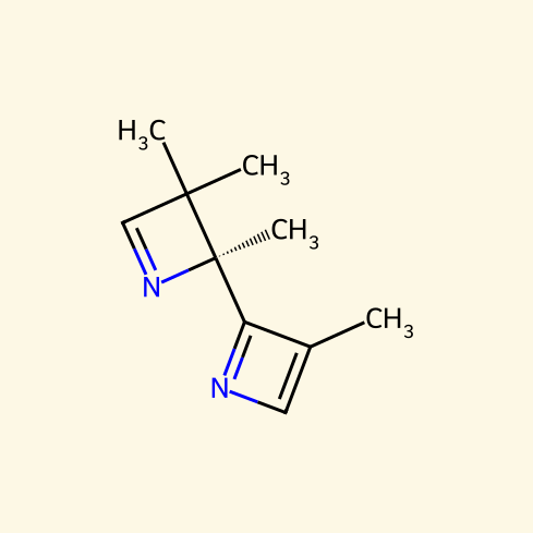 CC1=CN=C1[C@@]1(C)N=CC1(C)C